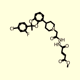 COC(=O)/C=C/C(=O)NNC(=O)CN1CCC(c2cccc3c2OC(C)(c2ccc(Cl)cc2F)O3)CC1